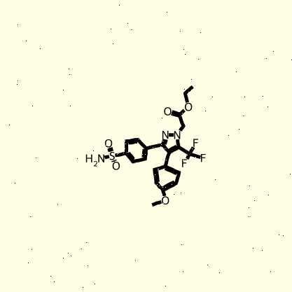 CCOC(=O)Cn1nc(-c2ccc(S(N)(=O)=O)cc2)c(-c2ccc(OC)cc2)c1C(F)(F)F